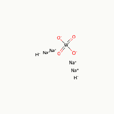 [H-].[H-].[Na+].[Na+].[Na+].[Na+].[O]=[W](=[O])([O-])[O-]